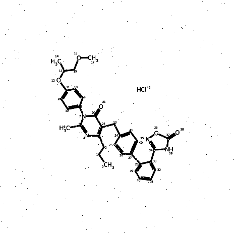 CCCc1nc(C)n(-c2ccc(OC(C)COC)cc2)c(=O)c1Cc1ccc(-c2ccccc2-c2noc(=O)[nH]2)cc1.Cl